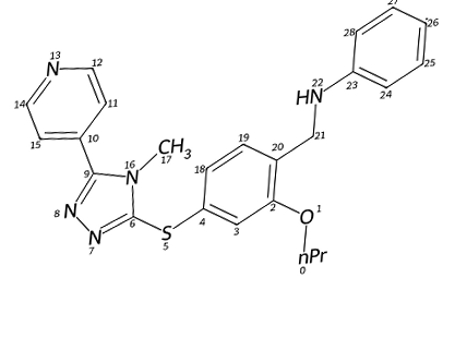 CCCOc1cc(Sc2nnc(-c3ccncc3)n2C)ccc1CNc1cc[c]cc1